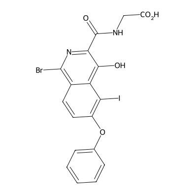 O=C(O)CNC(=O)c1nc(Br)c2ccc(Oc3ccccc3)c(I)c2c1O